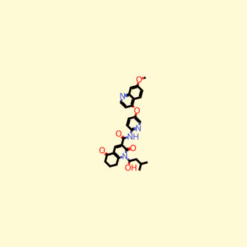 COc1ccc2c(Oc3ccc(NC(=O)c4cc5c(n(C(O)CC(C)C)c4=O)CCCC5=O)nc3)ccnc2c1